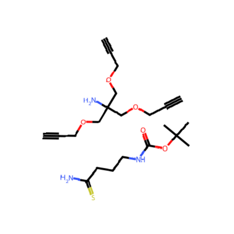 C#CCOCC(N)(COCC#C)COCC#C.CC(C)(C)OC(=O)NCCCC(N)=S